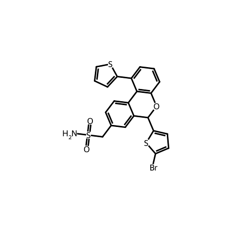 NS(=O)(=O)Cc1ccc2c(c1)C(c1ccc(Br)s1)Oc1cccc(-c3cccs3)c1-2